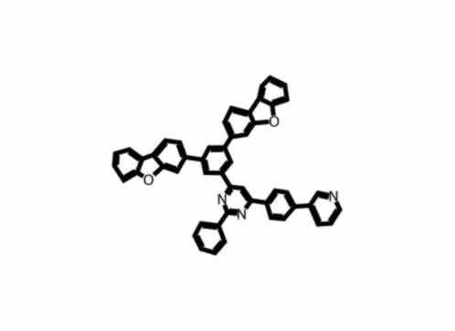 c1ccc(-c2nc(-c3ccc(-c4cccnc4)cc3)cc(-c3cc(-c4ccc5c(c4)oc4ccccc45)cc(-c4ccc5c(c4)oc4ccccc45)c3)n2)cc1